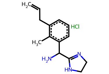 C=CCc1cccc(C(N)C2=NCCN2)c1C.Cl